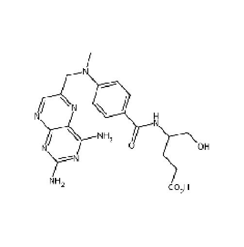 CN(Cc1cnc2nc(N)nc(N)c2n1)c1ccc(C(=O)NC(CO)CCC(=O)O)cc1